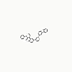 C1=CC(c2ccc3nc4c5c(nccc5c3c2)-c2ccccc2O4)=CC(c2ccc3sc4ccccc4c3c2)C1